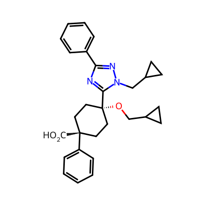 O=C(O)[C@]1(c2ccccc2)CC[C@](OCC2CC2)(c2nc(-c3ccccc3)nn2CC2CC2)CC1